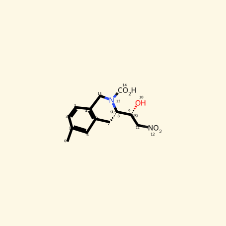 Cc1ccc2c(c1)C[C@@H]([C@H](O)C[N+](=O)[O-])N(C(=O)O)C2